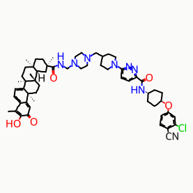 CC1=C(O)C(=O)C=C2C1=CC=C1[C@@]2(C)CC[C@@]2(C)[C@@H]3C[C@](C)(C(=O)NCN4CCN(CC5CCN(c6ccc(C(=O)N[C@H]7CC[C@H](Oc8ccc(C#N)c(Cl)c8)CC7)nn6)CC5)CC4)CC[C@]3(C)CC[C@]12C